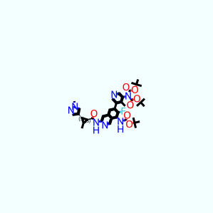 Cc1c(-c2cc3cc(NC(=O)[C@H]4C(C)[C@@H]4c4cnn(C)c4)ncc3c(NC(=O)OC(C)(C)C)c2F)cncc1N(C(=O)OC(C)(C)C)C(=O)OC(C)(C)C